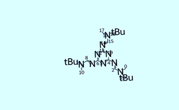 CN(C=Nc1nc(N=CN(C)C(C)(C)C)nc(N=CN(C)C(C)(C)C)n1)C(C)(C)C